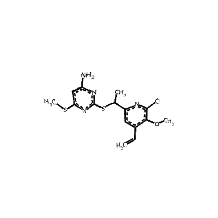 C=Cc1cc(C(C)Sc2nc(N)cc(SC)n2)nc(Cl)c1OC